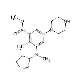 COC(=O)c1cc(N2CCNCC2)cc(N(C)C2CCCC2)c1C